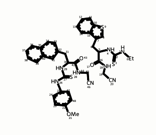 CCNC(=S)NC(Cc1csc2ccccc12)C(=O)NCC#N.COc1ccc(NC(=S)NC(Cc2ccc3ccccc3c2)C(=O)NCC#N)cc1